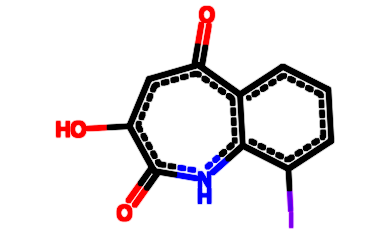 O=c1[nH]c2c(I)cccc2c(=O)cc1O